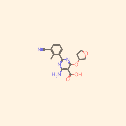 Cc1c(C#N)cccc1-c1nc(N)c(C(=O)O)c(O[C@H]2CCOC2)n1